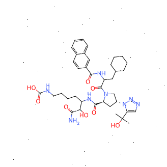 CC(C)(O)c1cnnn1[C@@H]1C[C@@H](C(=O)NC(CCCCNC(=O)O)C(O)C(N)=O)N(C(=O)C(CC2CCCCC2)NC(=O)c2ccc3ccccc3c2)C1